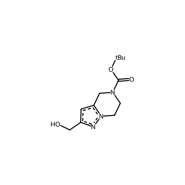 CC(C)(C)OC(=O)N1CCn2nc(CO)cc2C1